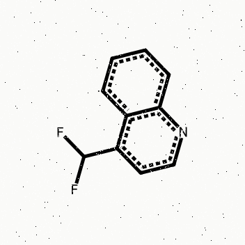 FC(F)c1ccnc2ccc[c]c12